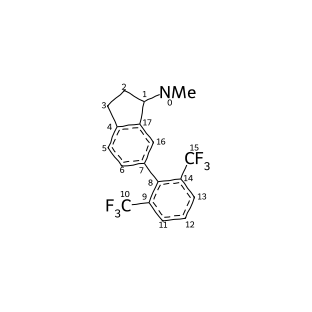 CNC1CCc2ccc(-c3c(C(F)(F)F)cccc3C(F)(F)F)cc21